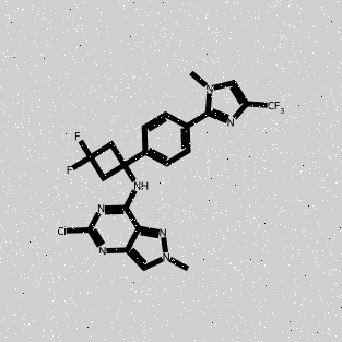 Cn1cc2nc(Cl)nc(NC3(c4ccc(-c5nc(C(F)(F)F)cn5C)cc4)CC(F)(F)C3)c2n1